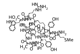 CC[C@@H](C)[C@@H](NC(=O)CNC(=O)[C@@H](C)NC(=O)[C@H](NC(=O)[C@@H](Cc1ccc(O)cc1)NC(=O)[C@@H](C)NC(=O)[C@@H](Cc1ccc(O)cc1)NC(=O)[C@H](N)CCSC)C(C)C)C(=O)N[C@H](CC(C)C)C(=O)N[C@H](CCCCN)C(=O)N[C@H](CCCNC(=N)N)C(=O)N[C@H](Cc1c[nH]c2ccccc12)C(=O)O